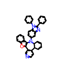 C1=CC2c3ccncc3-c3oc4ccccc4c3N(c3ccc4c(c3)nc(-c3ccccc3)n4-c3ccccc3)C2C=C1